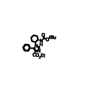 CCOC(=O)c1ncn([C@H]2CCCC[C@@H]2NC(=O)OC(C)(C)C)c1-c1ccccc1